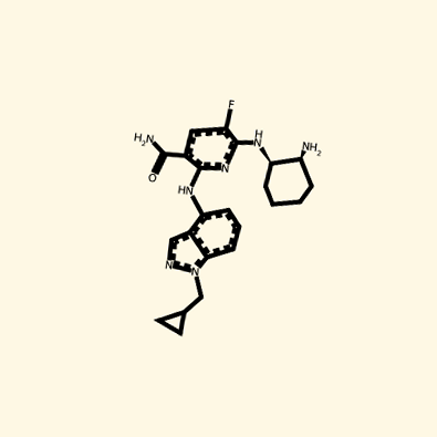 NC(=O)c1cc(F)c(N[C@@H]2CCCC[C@@H]2N)nc1Nc1cccc2c1cnn2CC1CC1